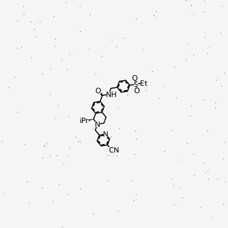 CCS(=O)(=O)c1ccc(CNC(=O)c2ccc3c(c2)CCN(Cc2ccc(C#N)cn2)[C@H]3C(C)C)cc1